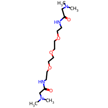 CN(C)CC(=O)NCCOCCOCCOCCNC(=O)CN(C)C